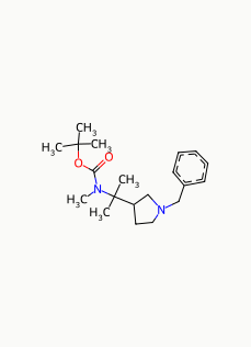 CN(C(=O)OC(C)(C)C)C(C)(C)C1CCN(Cc2ccccc2)C1